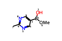 COB(O)c1cnc(C)nc1